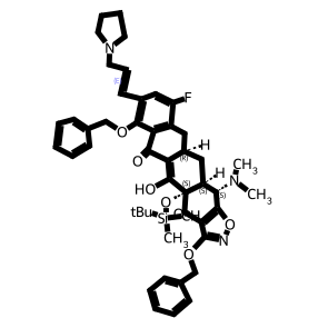 CN(C)[C@@H]1c2onc(OCc3ccccc3)c2C(=O)[C@@]2(O[Si](C)(C)C(C)(C)C)C(O)=C3C(=O)c4c(c(F)cc(/C=C/CN5CCCC5)c4OCc4ccccc4)C[C@H]3C[C@@H]12